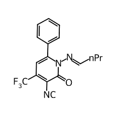 [C-]#[N+]c1c(C(F)(F)F)cc(-c2ccccc2)n(/N=C/CCC)c1=O